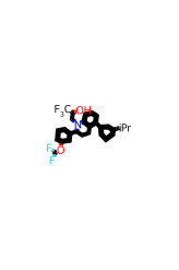 CC(C)c1cccc(-c2cccc3c2CCC(c2cccc(OC(F)F)c2)N3CC(O)C(F)(F)F)c1